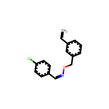 C=Cc1cccc(CO/N=[C]\c2ccc(Cl)cc2)c1